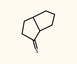 S=C1CCC2CCC[C]12